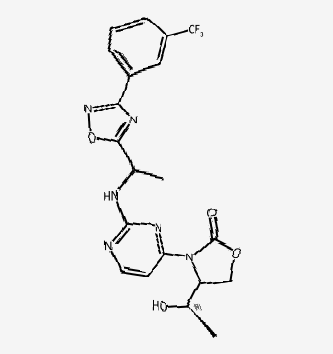 CC(Nc1nccc(N2C(=O)OCC2[C@@H](C)O)n1)c1nc(-c2cccc(C(F)(F)F)c2)no1